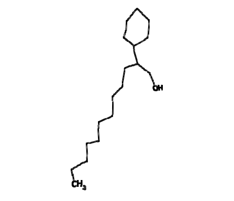 CCCCCCCCCCC(CO)C1CCCCC1